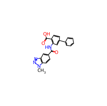 Cn1nnc2cc(C(=O)Nc3cc(-c4ccccc4)ccc3C(=O)O)ccc21